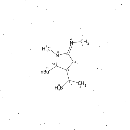 BC(C)C1C/C(=N\C)N(C)C1CCCC